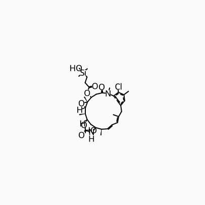 C/C1=C\C=C\[C@@H](C)[C@@]2(O)C[C@H](OC(=O)N2)[C@@H](C)[C@@H]2O[C@]2(C)[C@@H](OC(=O)CC[Si](C)(C)O)CC(=O)N(C)c2cc(cc(C)c2Cl)C1